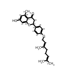 CC(C)=CCC/C(C)=C/COc1ccc(C2CC(=O)c3c(C)cc(O)cc3O2)cc1